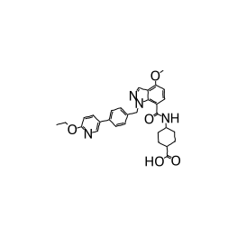 CCOc1ccc(-c2ccc(Cn3ncc4c(OC)ccc(C(=O)NC5CCC(C(=O)O)CC5)c43)cc2)cn1